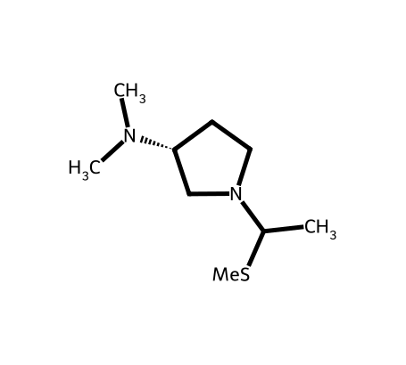 CSC(C)N1CC[C@@H](N(C)C)C1